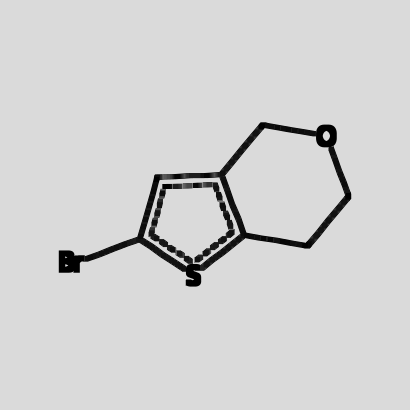 Brc1cc2c(s1)CCOC2